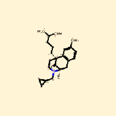 C=C1[C@H]2Cc3ccc(OC)cc3[C@]1(CCCC(OC)OC)CCN2CC1CC1